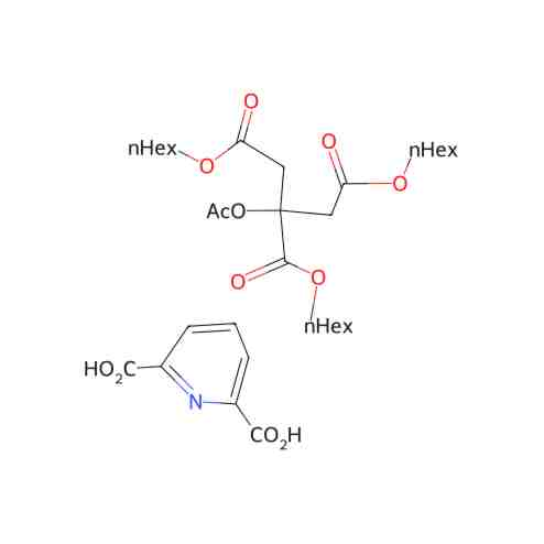 CCCCCCOC(=O)CC(CC(=O)OCCCCCC)(OC(C)=O)C(=O)OCCCCCC.O=C(O)c1cccc(C(=O)O)n1